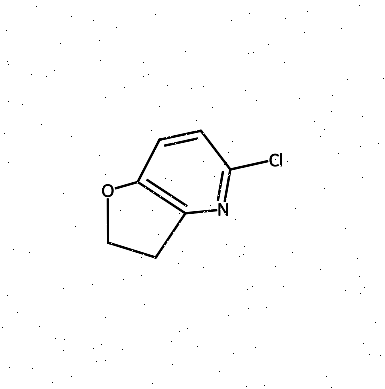 Clc1ccc2c(n1)CCO2